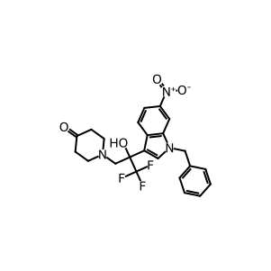 O=C1CCN(CC(O)(c2cn(Cc3ccccc3)c3cc([N+](=O)[O-])ccc23)C(F)(F)F)CC1